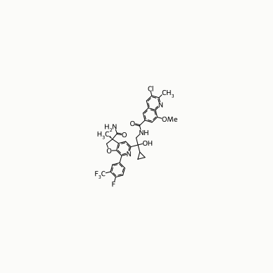 COc1cc(C(=O)NCC(O)(c2cc3c(c(-c4ccc(F)c(C(F)(F)F)c4)n2)OC[C@]3(C)C(N)=O)C2CC2)cc2cc(Cl)c(C)nc12